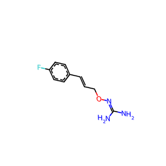 NC(N)=NOC/C=C/c1ccc(F)cc1